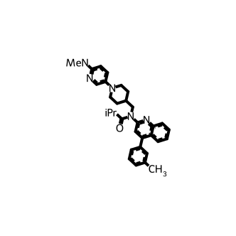 CNc1ccc(N2CCC(CN(C(=O)C(C)C)c3cc(-c4cccc(C)c4)c4ccccc4n3)CC2)cn1